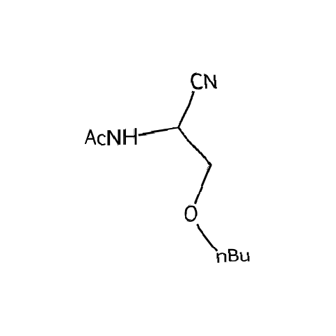 CCCCOCC(C#N)NC(C)=O